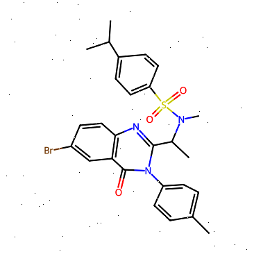 Cc1ccc(-n2c(C(C)N(C)S(=O)(=O)c3ccc(C(C)C)cc3)nc3ccc(Br)cc3c2=O)cc1